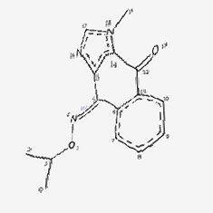 CC(C)O/N=C1\c2ccccc2C(=O)c2c1ncn2C